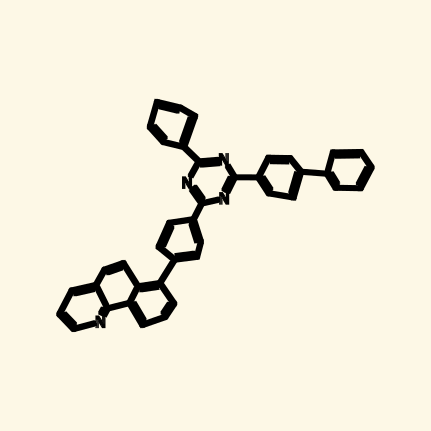 c1ccc(-c2ccc(-c3nc(-c4ccccc4)nc(-c4ccc(-c5cccc6c5ccc5cccnc56)cc4)n3)cc2)cc1